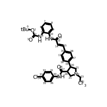 CC(C)(C)OC(=O)Nc1ccccc1NC(=O)C=Cc1ccc(C2CN(CC(F)(F)F)CC2C(=O)Nc2ccc(Cl)cc2)cc1